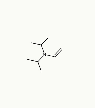 C=[C]N(C(C)C)C(C)C